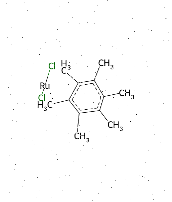 Cc1c(C)c(C)c(C)c(C)c1C.[Cl][Ru][Cl]